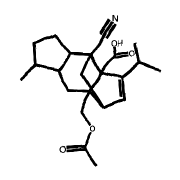 CC(=O)OCC12CC3C(C)CCC3C3(C#N)CC1C=C(C(C)C)C32C(=O)O